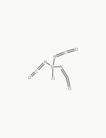 O=C=N[Si](Cl)(N=C=O)N=C=O